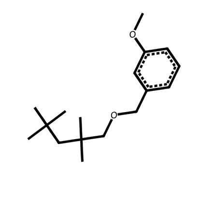 COc1cccc(COCC(C)(C)CC(C)(C)C)c1